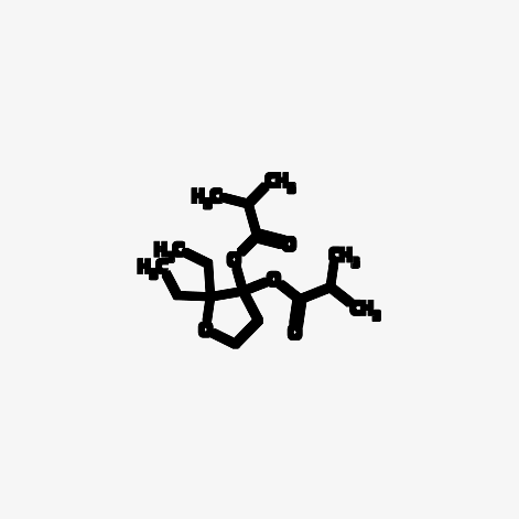 CCC1(CC)OCCC1(OC(=O)C(C)C)OC(=O)C(C)C